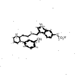 O=C(O)Oc1ccc2c(CSCCC3NCC=CC3c3cccc(O)c3)c[nH]c2c1